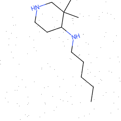 CCCCCNC1CCNCC1(C)C